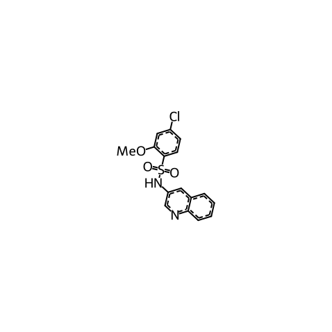 COc1cc(Cl)ccc1S(=O)(=O)Nc1cnc2ccccc2c1